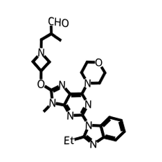 CCc1nc2ccccc2n1-c1nc(N2CCOCC2)c2nc(OC3CN(CC(C)C=O)C3)n(C)c2n1